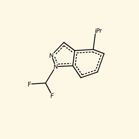 CC(C)c1cccc2c1cnn2C(F)F